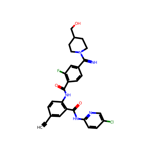 C#Cc1ccc(NC(=O)c2ccc(C(=N)N3CCC(CO)CC3)cc2F)c(C(=O)Nc2ccc(Cl)cn2)c1